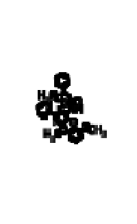 COc1ccccc1Oc1c(NS(=O)(=O)CC(OC)c2ccccc2)nc(-c2ncccn2)nc1OC